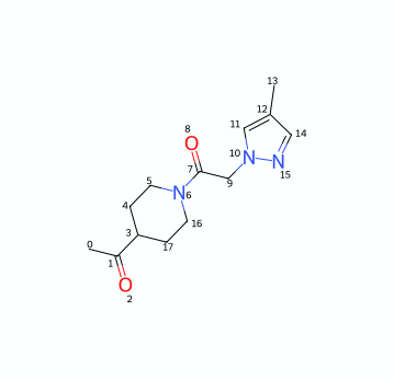 CC(=O)C1CCN(C(=O)Cn2cc(C)cn2)CC1